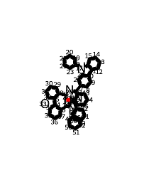 c1ccc(-c2nc(-c3ccc4c5ccccc5n(-c5ccccc5)c4c3)nc(-c3cccc4oc5cccc(-c6nc7ccccc7n6-c6ccccc6)c5c34)n2)cc1